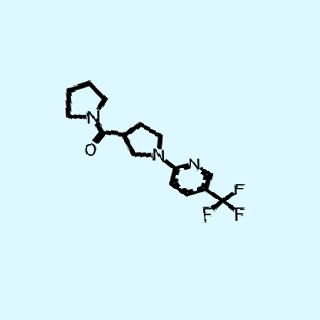 O=C(C1CCN(c2ccc(C(F)(F)F)cn2)C1)N1CCCC1